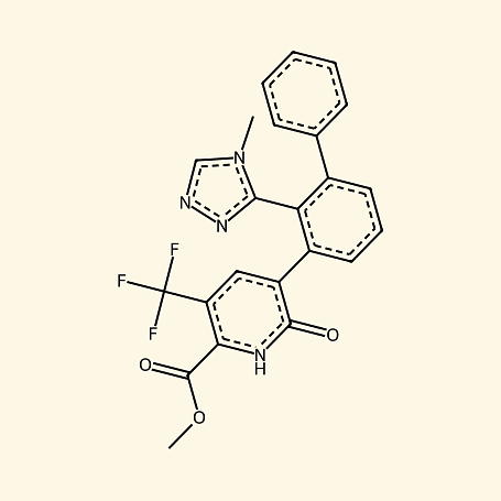 COC(=O)c1[nH]c(=O)c(-c2cccc(-c3ccccc3)c2-c2nncn2C)cc1C(F)(F)F